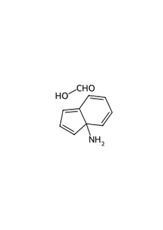 NC12C=CC=CC1=CC=C2.O=CO